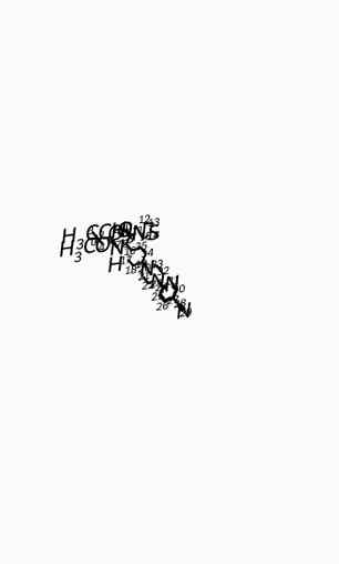 CC(C)(C)OC(=O)N[C@H](C(=O)N1CCSC1)[C@H]1CC[C@H](N2CCN(c3ccc(C#N)cn3)CC2)CC1